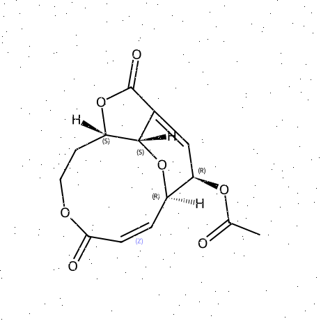 CC(=O)O[C@@H]1C=C2C(=O)O[C@H]3CCOC(=O)/C=C\[C@H]1O[C@@H]23